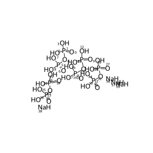 O=P(O)(O)OP(=O)(O)O.O=P(O)(O)OP(=O)(O)O.O=P(O)(O)OP(=O)(O)O.O=P(O)(O)OP(=O)(O)O.[NaH].[NaH].[NaH].[NaH]